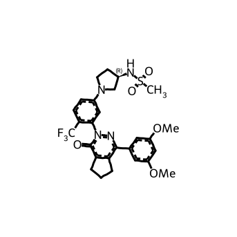 COc1cc(OC)cc(-c2nn(-c3cc(N4CC[C@@H](NS(C)(=O)=O)C4)ccc3C(F)(F)F)c(=O)c3c2CCC3)c1